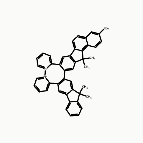 CC(C)(C)c1ccc2c3c(ccc2c1)-c1cc2c(cc1C3(C)C)-c1cc3c(cc1-c1cccc[n+]1-[n+]1ccccc1-2)-c1ccccc1C3(C)C